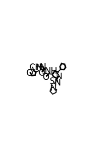 Cc1occc1-c1nnc(NC(=O)c2cc(-c3ccccc3)nc3nc(N4CCCCC4)sc23)o1